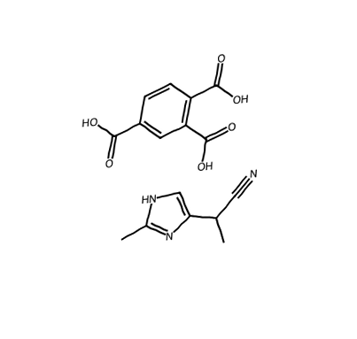 Cc1nc(C(C)C#N)c[nH]1.O=C(O)c1ccc(C(=O)O)c(C(=O)O)c1